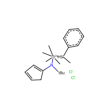 C[SiH](c1ccccc1)[Ti+2]([CH3])([CH3])([CH3])([CH3])[N](C1=CC=CC1)C(C)(C)C.[Cl-].[Cl-]